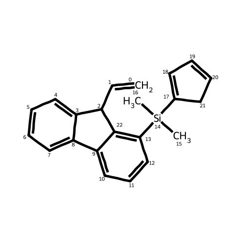 C=CC1c2ccccc2-c2cccc([Si](C)(C)C3=CC=CC3)c21